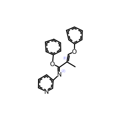 CC(=C\Oc1ccccc1)/C(=N/c1cccnc1)Oc1ccccc1